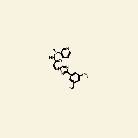 CN(NC(=O)/C=C\n1cnc(-c2cc(CF)cc(C(F)(F)F)c2)n1)c1cccnc1